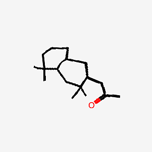 CC(=O)CC1CC2CCCC(C)(C)C2CC1(C)C